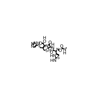 CNC(=O)ON=C(C(=O)NC1C(=O)N2C(C(=O)O)=C(CSc3cnn[nH]3)CS[C@@H]12)c1csc(=N)[nH]1